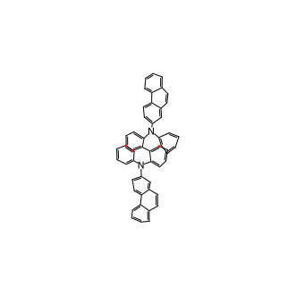 c1ccc(N(c2ccc3c(ccc4ccccc43)c2)c2ccccc2-c2ccccc2N(c2ccccc2)c2ccc3c(ccc4ccccc43)c2)cc1